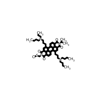 CCCCN(CCC)CCCc1cc2c3c(ccc4c5c(CCCN(CCCC)CCCC)cc6c7c(ccc(c1c34)c75)C(=O)N(C(C)C)C6=O)C(=O)N(CSCl)C2=O